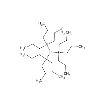 CCC[Si](CCC)(CCC)P([Si](CCC)(CCC)CCC)[Si](CCC)(CCC)CCC